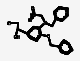 O=[SH](=O)CN(Cc1ccccc1)c1cc(C(O)CCl)ccc1OCc1ccccc1